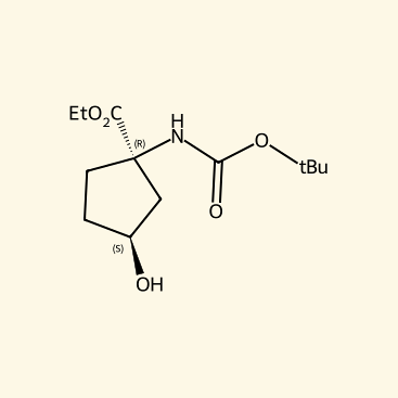 CCOC(=O)[C@@]1(NC(=O)OC(C)(C)C)CC[C@H](O)C1